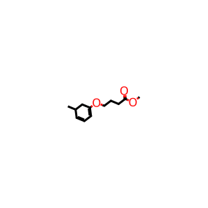 COC(=O)CCCOC1=CC=CC(C)C1